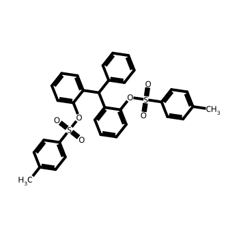 Cc1ccc(S(=O)(=O)Oc2ccccc2C(c2ccccc2)c2ccccc2OS(=O)(=O)c2ccc(C)cc2)cc1